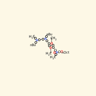 C=CCCCOc1ccc2cc(-c3ccc(N(c4ccc(CCCC)cc4)c4ccc(-c5ccc(N(c6ccc(C)cc6)c6ccc(CCCC)cc6)cc5)cc4)cc3)ccc2c1-c1c(OCCCC=C)ccc2cc(C3C=C4Oc5cc(C)ccc5N(C5=CC=C(OCCCCCCCC)CC5)C4=CC3)ccc12